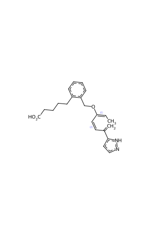 C=C(/C=C\C(=C/C)OCc1ccccc1CCCCC(=O)O)c1ccn[nH]1